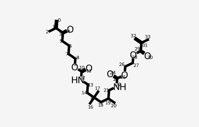 C=C(C)C(=O)CCCCOC(=O)NCCC(C)(C)CC(C)CNC(=O)OCCOC(=O)C(=C)C